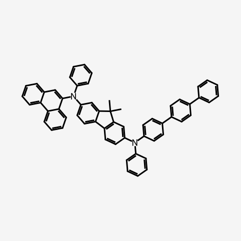 CC1(C)c2cc(N(c3ccccc3)c3ccc(-c4ccc(-c5ccccc5)cc4)cc3)ccc2-c2ccc(N(c3ccccc3)c3cc4ccccc4c4ccccc34)cc21